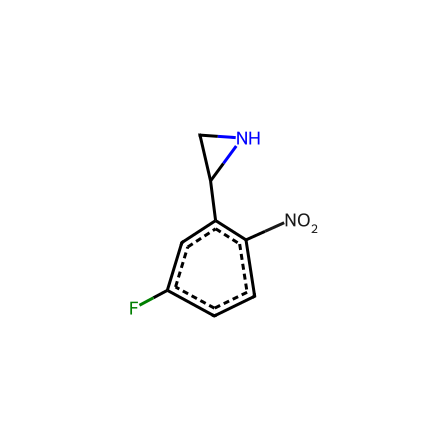 O=[N+]([O-])c1ccc(F)cc1C1CN1